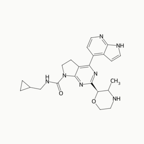 CC1NCCO[C@H]1c1nc(-c2ccnc3[nH]ccc23)c2c(n1)N(C(=O)NCC1CC1)CC2